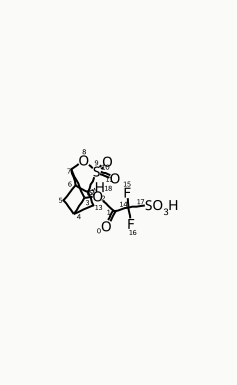 O=C(OC1C2CC3C1OS(=O)(=O)[C@H]3C2)C(F)(F)S(=O)(=O)O